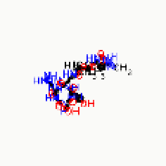 CN/N=C(\N=N/OC(=O)NCCOC(C)(C)COC(C)(C)CC(=O)NCCCCC1NC(=O)[C@@H](Cc2ccc(O)cc2)NC(=O)[C@H](CC(=O)O)NC(=O)CNC(=O)[C@H](CCCNC(=N)N)NC1=O)c1ccccc1